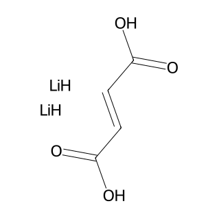 O=C(O)C=CC(=O)O.[LiH].[LiH]